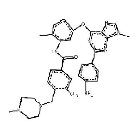 Cc1ccc(Oc2nc(-c3ccc(N)cc3)nc3c2ncn3C)cc1NC(=O)c1ccc(CN2CCN(C)CC2)c(C(F)(F)F)c1